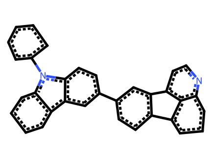 c1ccc(-n2c3ccccc3c3cc(-c4ccc5c(c4)-c4ccnc6cccc-5c46)ccc32)cc1